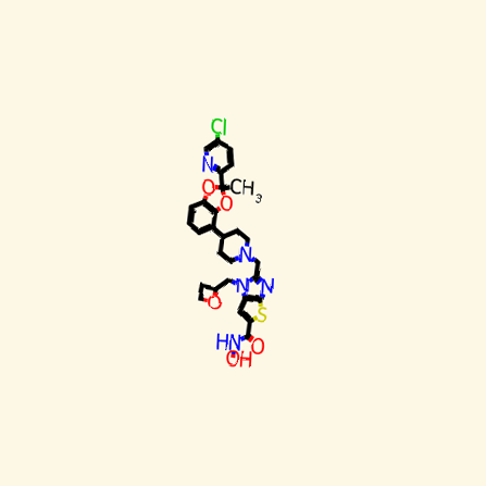 CC1(c2ccc(Cl)cn2)Oc2cccc(C3CCN(Cc4nc5sc(C(=O)NO)cc5n4CC4CCO4)CC3)c2O1